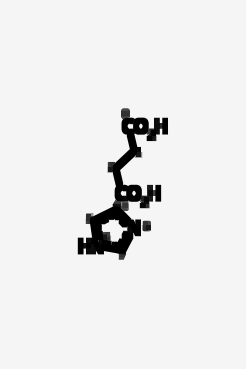 O=C(O)CCC(=O)O.c1c[nH]cn1